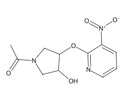 CC(=O)N1CC(O)C(Oc2ncccc2[N+](=O)[O-])C1